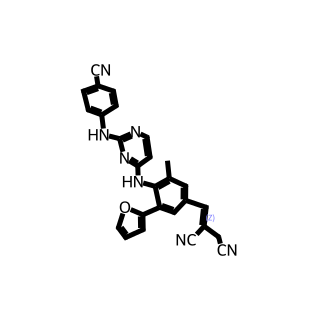 Cc1cc(/C=C(\C#N)CC#N)cc(-c2ccco2)c1Nc1ccnc(Nc2ccc(C#N)cc2)n1